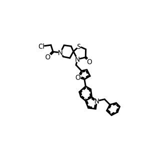 O=C(CCl)N1CCC2(CC1)SCC(=O)N2Cc1ccc(-c2ccc3ccn(Cc4ccccc4)c3c2)o1